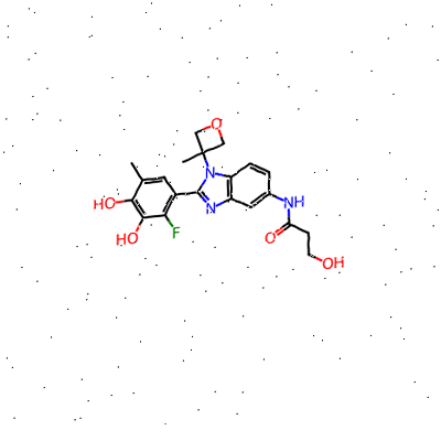 Cc1cc(-c2nc3cc(NC(=O)CCO)ccc3n2C2(C)COC2)c(F)c(O)c1O